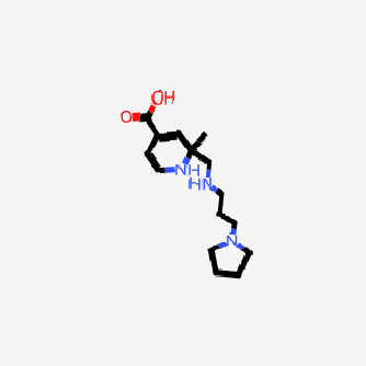 CC1(CNCCCN2CCCC2)C=C(C(=O)O)C=CN1